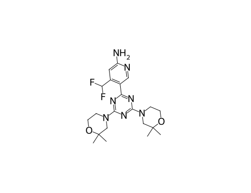 CC1(C)CN(c2nc(-c3cnc(N)cc3C(F)F)nc(N3CCOC(C)(C)C3)n2)CCO1